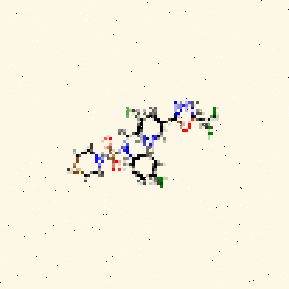 O=S(=O)(N1CCSCC1)N(Cc1ncc(-c2nnc(C(F)F)o2)cc1F)c1ccc(F)cc1